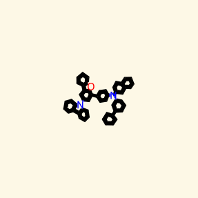 c1ccc(-c2cccc(N(c3ccc(-c4cc(-n5c6ccccc6c6ccccc65)cc5c4oc4ccccc45)cc3)c3ccc4ccccc4c3)c2)cc1